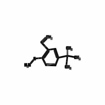 C=Cc1cc(C(C)(C)C)ccc1SN